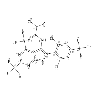 O=C(Nc1c2c(C(F)(F)F)nc(C(F)(F)F)nc2nn1-c1c(Cl)cc(C(F)(F)F)cc1Cl)C(Cl)Cl